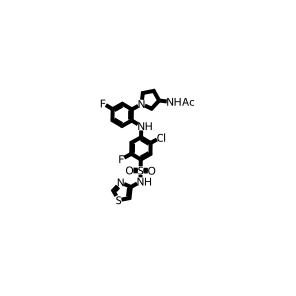 CC(=O)NC1CCN(c2cc(F)ccc2Nc2cc(F)c(S(=O)(=O)Nc3cscn3)cc2Cl)C1